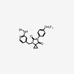 CC(C)Nc1cc(CN2C(=O)N(c3ccc(OC(F)(F)F)cc3)C(=O)C23CC3)ccn1